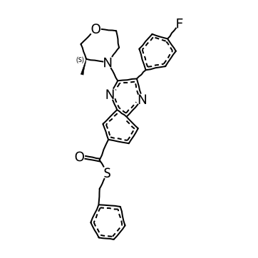 C[C@H]1COCCN1c1nc2cc(C(=O)SCc3ccccc3)ccc2nc1-c1ccc(F)cc1